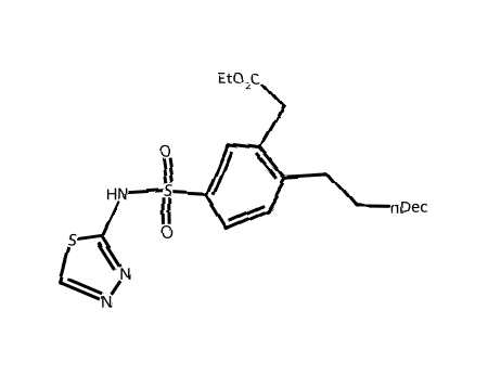 CCCCCCCCCCCCc1ccc(S(=O)(=O)Nc2nncs2)cc1CC(=O)OCC